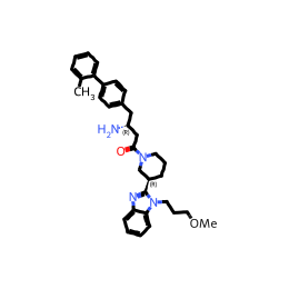 COCCCn1c([C@@H]2CCCN(C(=O)C[C@H](N)Cc3ccc(-c4ccccc4C)cc3)C2)nc2ccccc21